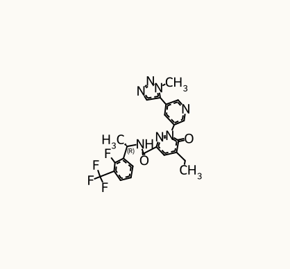 CCc1cc(C(=O)N[C@H](C)c2cccc(C(F)(F)F)c2F)nn(-c2cncc(-c3cnnn3C)c2)c1=O